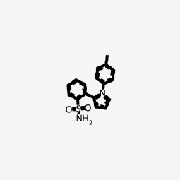 Cc1ccc(-n2cccc2-c2ccccc2S(N)(=O)=O)cc1